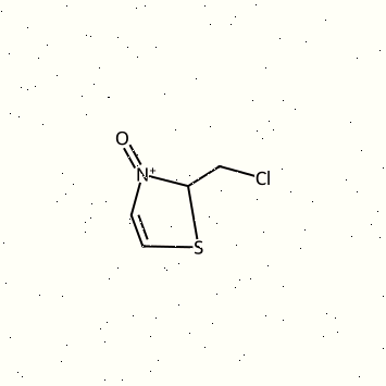 O=[N+]1C=CSC1CCl